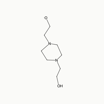 [O]CCN1CCN(CCO)CC1